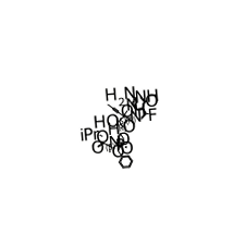 CC#CC1(O)[C@@H](O)[C@@H](COP(=O)(N[C@@H](C)C(=O)OC(C)C)Oc2ccccc2)O[C@H]1n1cc(F)c2c(=O)[nH]c(N)nc21